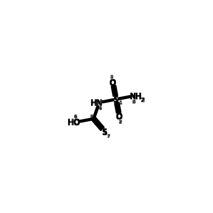 NS(=O)(=O)NC(O)=S